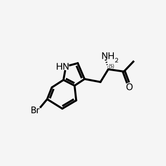 CC(=O)[C@@H](N)Cc1c[nH]c2cc(Br)ccc12